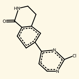 O=C1NCCc2cc(-c3ccnc(Cl)n3)ccc21